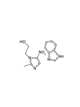 Cc1ncc([N+](=O)[O-])n1CCO.c1ccc2[nH]cnc2c1